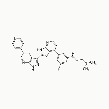 CN(C)CCNc1cc(F)cc(-c2ccnc3[nH]c(-c4n[nH]c5ncc(-c6ccncc6)cc45)cc23)c1